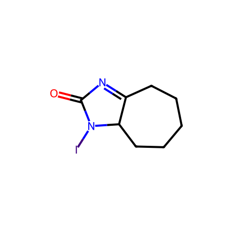 O=C1N=C2CCCCCC2N1I